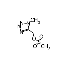 Cn1nnnc1COS(C)(=O)=O